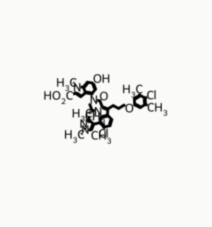 Cc1cc(OCCCc2c3n(c4c(-c5c(C)nn(C)c5C)c(Cl)ccc24)[C@H](C)CN(c2cc(O)cc4c2cc(C(=O)O)n4C)C3=O)cc(C)c1Cl